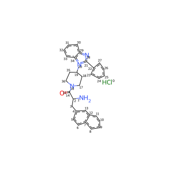 Cl.NC(Cc1ccc2ccccc2c1)C(=O)N1CCC(n2c(-c3ccccc3)nc3ccccc32)CC1